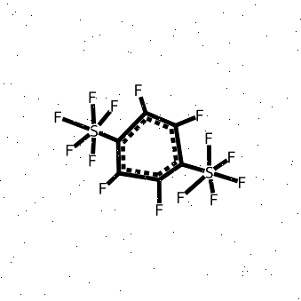 Fc1c(F)c(S(F)(F)(F)(F)F)c(F)c(F)c1S(F)(F)(F)(F)F